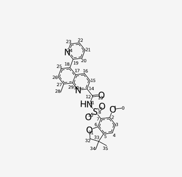 COc1ccc2c(c1S(=O)(=O)NC(=O)c1ccc3c(-c4ccccn4)ccc(C)c3n1)OCC2(C)C